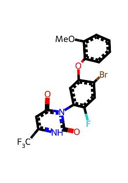 COc1ccccc1Oc1cc(-n2c(=O)cc(C(F)(F)F)[nH]c2=O)c(F)cc1Br